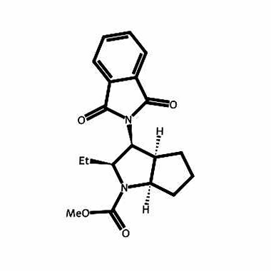 CC[C@H]1[C@@H](N2C(=O)c3ccccc3C2=O)[C@H]2CCC[C@H]2N1C(=O)OC